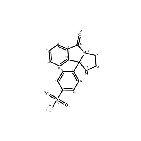 CS(=O)(=O)c1ccc(C23NCCN2C(=O)c2ccccc23)cc1